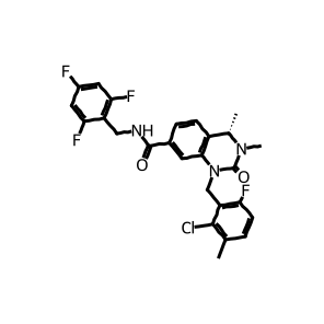 Cc1ccc(F)c(CN2C(=O)N(C)[C@@H](C)c3ccc(C(=O)NCc4c(F)cc(F)cc4F)cc32)c1Cl